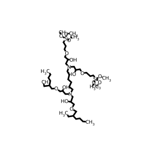 CCCCC(CC)COCC(O)CN(CCCCCCN(CC(O)COCCC[Si](OC)(OC)OC)CC(O)COCCC[Si](OC)(OC)OC)CC(O)COCC(CC)CCCC